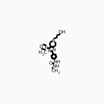 CCNC(=O)Nc1ccc(-c2nc3c(c(N4CCOCC4C)n2)CCN(CCCCO)CC3)cc1